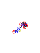 CCO[C@H]1CN(C(=O)[C@@H](NC(=O)c2ccc(-c3csc(N4CCN(CCOC)CC4)n3)cc2)C2CCCC2)[C@@H]2C(=O)CO[C@H]12